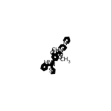 COc1cc(-c2nc(-c3cccs3)c(-c3ccccc3)[nH]2)cc(OC)c1OC(=O)N1CCC(N2CCCCC2)CC1